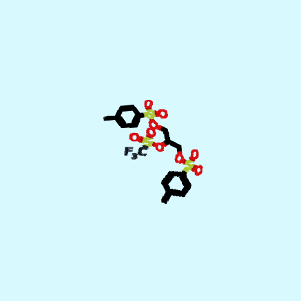 Cc1ccc(S(=O)(=O)OCC(COS(=O)(=O)c2ccc(C)cc2)OS(=O)(=O)C(F)(F)F)cc1